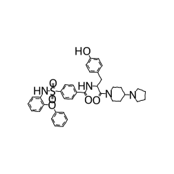 O=C(NC(Cc1ccc(O)cc1)C(=O)N1CCC(N2CCCC2)CC1)c1ccc(S(=O)(=O)Nc2ccccc2Oc2ccccc2)cc1